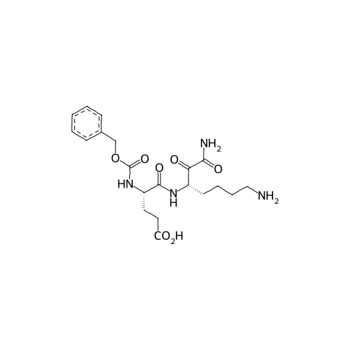 NCCCC[C@H](NC(=O)[C@H](CCC(=O)O)NC(=O)OCc1ccccc1)C(=O)C(N)=O